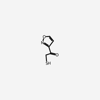 O=C(CS)c1ccon1